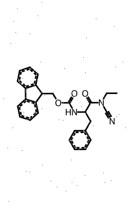 CCN(C#N)C(=O)C(Cc1ccccc1)NC(=O)OCC1c2ccccc2-c2ccccc21